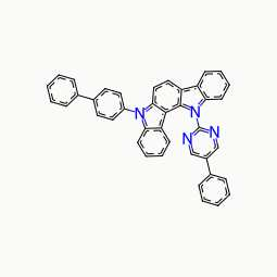 c1ccc(-c2ccc(-n3c4ccccc4c4c3ccc3c5ccccc5n(-c5ncc(-c6ccccc6)cn5)c34)cc2)cc1